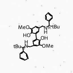 COc1cc(CN[C@@H](c2ccccc2)C(C)(C)C)cc(-c2cc(CN[C@@H](c3ccccc3)C(C)(C)C)cc(OC)c2O)c1O